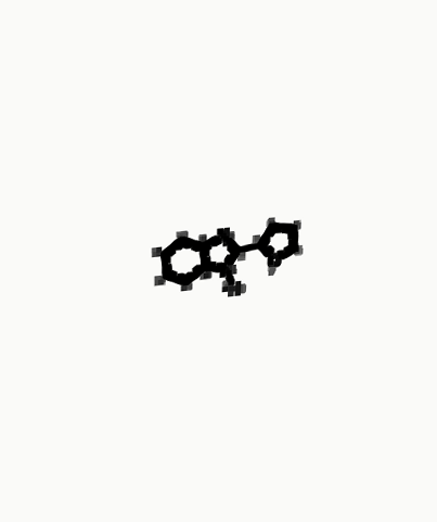 [2H]n1c(-c2ccco2)nc2ccccc21